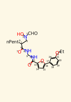 CCCCCC(CN(O)C=O)C(=O)NCNC(=O)c1ccc(-c2cccc(OCC)c2)o1